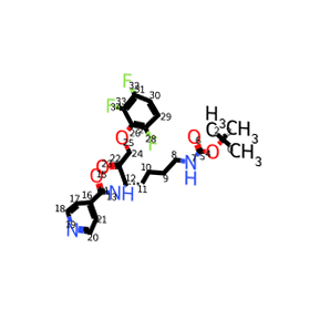 CC(C)(C)OC(=O)NCCCC[C@H](NC(=O)c1ccncc1)C(=O)COc1c(F)ccc(F)c1F